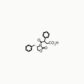 O=C(O)CC(C(=O)N1C(=O)OC[C@@H]1Cc1ccccc1)c1ccccc1